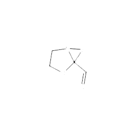 S=CC12OCCN1S2